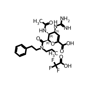 CCCN(CCc1ccccc1)C(=O)[C@@H]1OC(C(=O)O)=C[C@H](NC(=N)N)[C@H]1NC(C)=O.O=C(O)C(F)(F)F